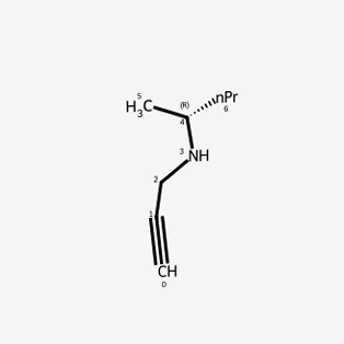 C#CCN[C@H](C)CCC